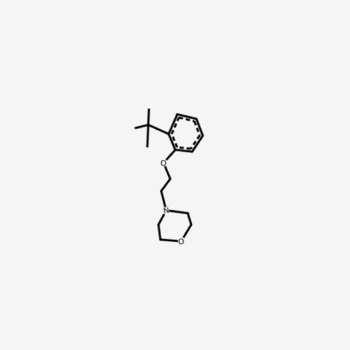 CC(C)(C)c1ccccc1OCCN1CCOCC1